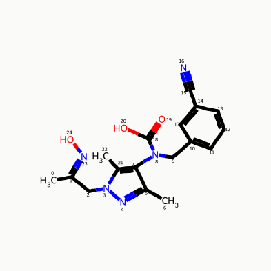 CC(Cn1nc(C)c(N(Cc2cccc(C#N)c2)C(=O)O)c1C)=NO